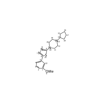 COc1cccc(-c2nnc(N3CCN(C4CCCC4)CC3)s2)c1